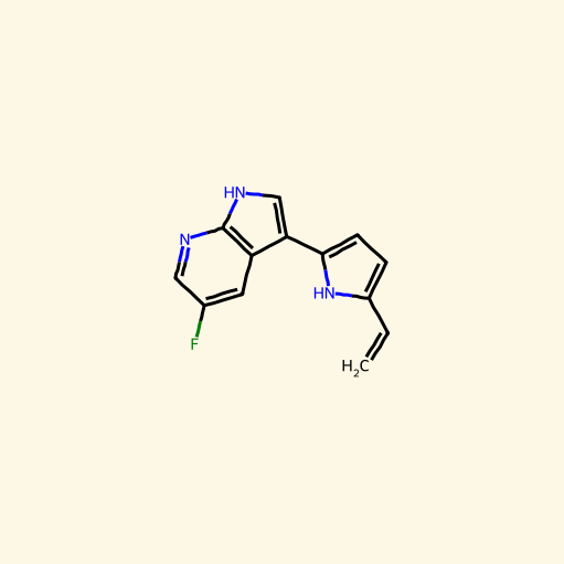 C=Cc1ccc(-c2c[nH]c3ncc(F)cc23)[nH]1